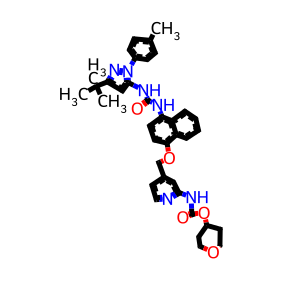 Cc1ccc(-n2nc(C(C)(C)C)cc2NC(=O)Nc2ccc(OCc3ccnc(NC(=O)OC4CCOCC4)c3)c3ccccc23)cc1